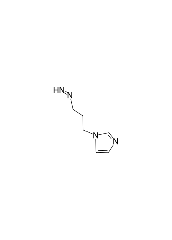 N=NCCCn1ccnc1